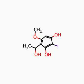 COc1cc(O)c(I)c(O)c1C(C)O